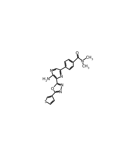 CN(C)C(=O)c1ccc(-c2cnc(N)c(-c3nnc(-c4ccsc4)o3)n2)cc1